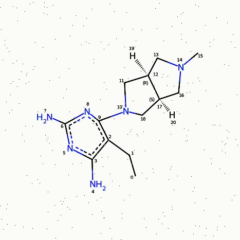 CCc1c(N)nc(N)nc1N1C[C@H]2CN(C)C[C@H]2C1